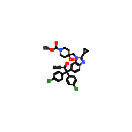 COC(=O)C(c1ccc(Cl)cc1)(c1ccc(Cl)cc1)c1ccc2nc(C3CC3)n(CC3(O)CCN(C(=O)OC(C)(C)C)CC3)c2c1